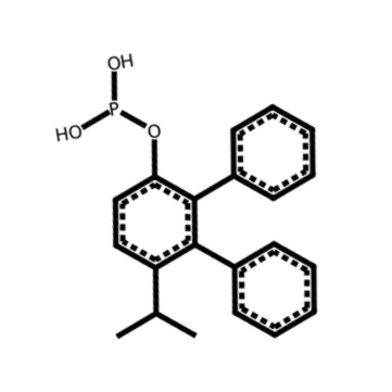 CC(C)c1ccc(OP(O)O)c(-c2ccccc2)c1-c1ccccc1